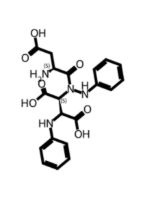 N[C@@H](CC(=O)O)C(=O)N(Nc1ccccc1)[C@H](C(=O)O)C(Nc1ccccc1)C(=O)O